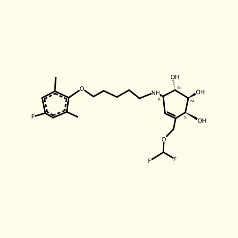 Cc1cc(F)cc(C)c1OCCCCCN[C@@H]1C=C(COC(F)F)[C@H](O)[C@H](O)[C@H]1O